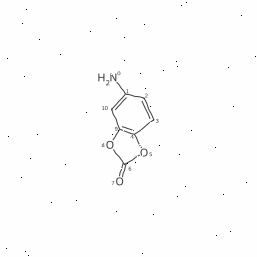 Nc1ccc2oc(=O)oc2c1